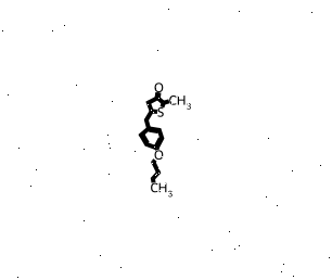 CCCCOc1ccc(CC2CC(=O)C(C)S2)cc1